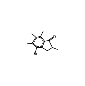 Cc1c(C)c(Br)c2c(c1C)C(=O)C(C)C2